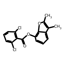 Cc1oc2c(OC(=O)c3c(Cl)cccc3Cl)cccc2c1C